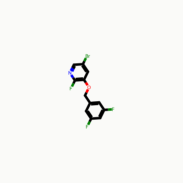 Fc1cc(F)cc(COc2cc(Br)cnc2F)c1